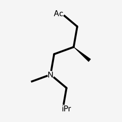 CC(=O)C[C@@H](C)CN(C)CC(C)C